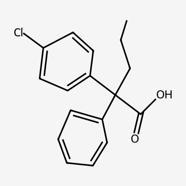 CCCC(C(=O)O)(c1ccccc1)c1ccc(Cl)cc1